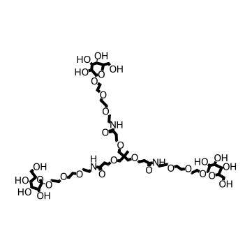 CC(COCCC(=O)NCCOCCOCCO[C@H]1OC(CO)[C@@H](O)C(O)C1O)(COCCC(=O)NCCOCCOCCO[C@H]1OC(CO)[C@@H](O)C(O)C1O)COCCC(=O)NCCOCCOCCO[C@H]1OC(CO)[C@H](O)C(O)C1O